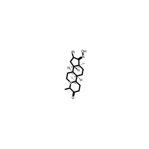 CC(C)C1C[C@H]2[C@@H]3CCN4C(C)C(=O)CC[C@]4(C)[C@@H]3CC[C@]2(C)C1=NO